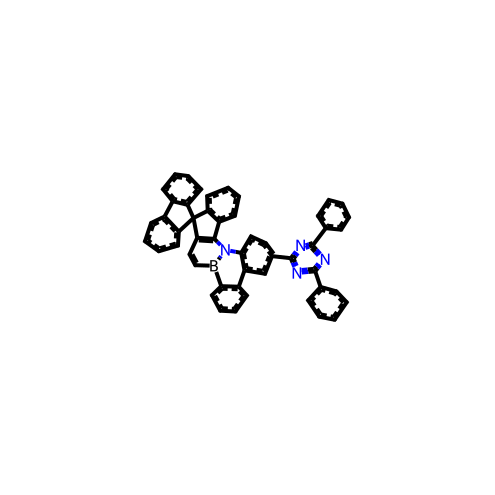 C1=CC2=C(c3ccccc3C23c2ccccc2-c2ccccc23)N2B1c1ccccc1-c1cc(-c3nc(-c4ccccc4)nc(-c4ccccc4)n3)ccc12